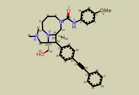 COc1ccc(NC(=O)N2CCCCN3[C@@H](C2)C(c2ccc(C#Cc4ccccc4)cc2)[C@@]3(CO)CN(C)C)cc1